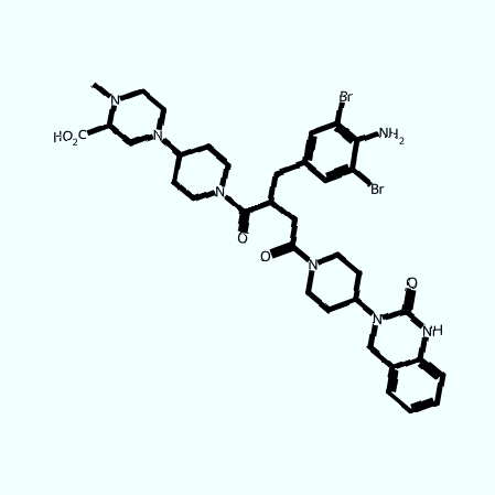 CN1CCN(C2CCN(C(=O)C(CC(=O)N3CCC(N4Cc5ccccc5NC4=O)CC3)Cc3cc(Br)c(N)c(Br)c3)CC2)CC1C(=O)O